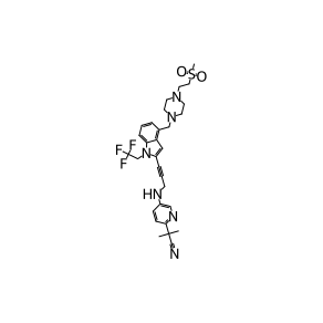 CC(C)(C#N)c1ccc(NCC#Cc2cc3c(CN4CCN(CCS(C)(=O)=O)CC4)cccc3n2CC(F)(F)F)cn1